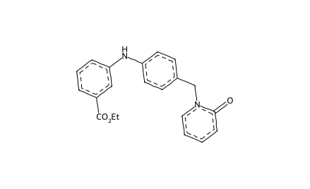 CCOC(=O)c1cccc(Nc2ccc(Cn3ccccc3=O)cc2)c1